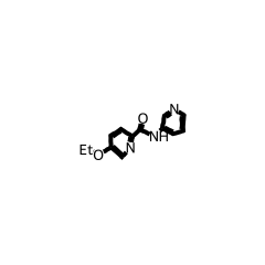 CCOc1ccc(C(=O)Nc2cccnc2)nc1